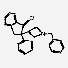 O=C1c2ccccc2CC1(c1ccccc1)C1CN(Cc2ccccc2)C1